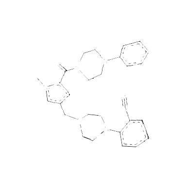 Cn1cc(CN2CCN(c3ccccc3C#N)CC2)cc1C(=O)N1CCN(c2ccccc2)CC1